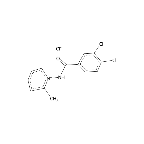 Cc1cccc[n+]1NC(=O)c1ccc(Cl)c(Cl)c1.[Cl-]